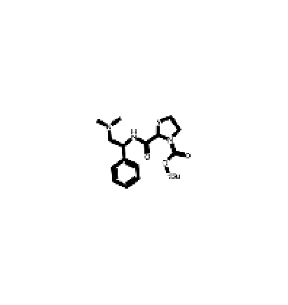 CN(C)CC(NC(=O)C1SCCN1C(=O)OC(C)(C)C)c1ccccc1